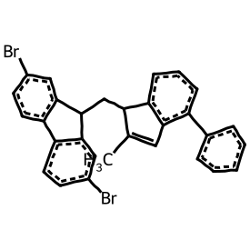 CC1=Cc2c(-c3ccccc3)cccc2C1CC1c2cc(Br)ccc2-c2ccc(Br)cc21